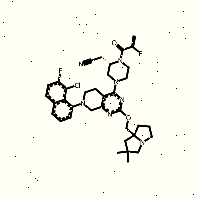 C=C(F)C(=O)N1CCN(c2nc(OCC34CCCN3CC(C)(C)C4)nc3c2CCN(c2cccc4ccc(F)c(Cl)c24)C3)C[C@@H]1CC#N